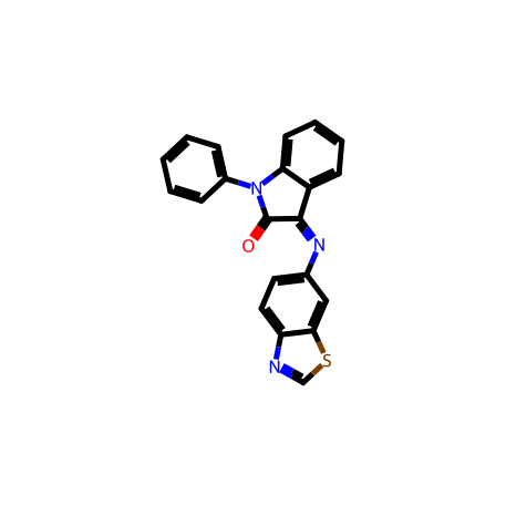 O=C1C(=Nc2ccc3ncsc3c2)c2ccccc2N1c1ccccc1